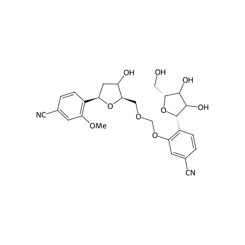 COc1cc(C#N)ccc1[C@H]1CC(O)[C@@H](COCOc2cc(C#N)ccc2[C@@H]2O[C@H](CO)C(O)C2O)O1